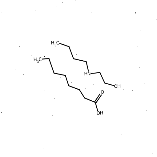 CCCCCCCC(=O)O.CCCCNCCO